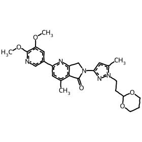 COc1cc(-c2cc(C)c3c(n2)CN(c2cc(C)n(CCC4OCCCO4)n2)C3=O)cnc1OC